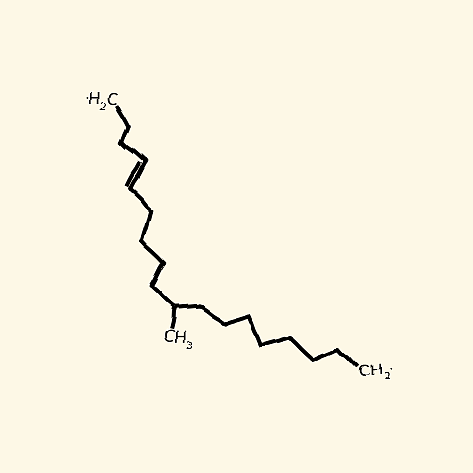 [CH2]CCC=CCCCCC(C)CCCCCCC[CH2]